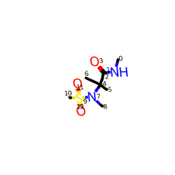 CNC(=O)C(C)(C)N(C)S(C)(=O)=O